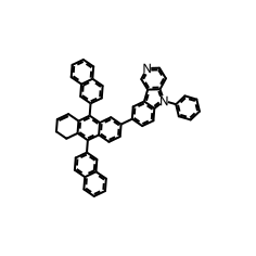 C1=Cc2c(c(-c3ccc4ccccc4c3)c3ccc(-c4ccc5c(c4)c4cnccc4n5-c4ccccc4)cc3c2-c2ccc3ccccc3c2)CC1